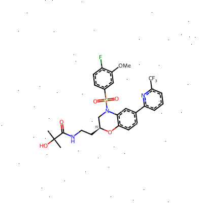 COc1cc(S(=O)(=O)N2C[C@H](CCNC(=O)C(C)(C)O)Oc3ccc(-c4cccc(C(F)(F)F)n4)cc32)ccc1F